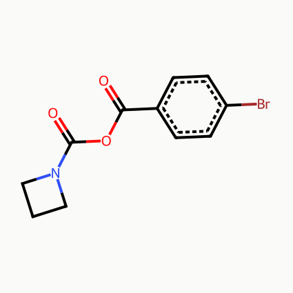 O=C(OC(=O)N1CCC1)c1ccc(Br)cc1